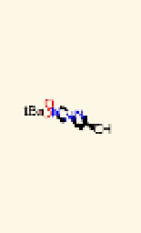 C#Cc1ccc(N2CCN(C(=O)OC(C)(C)C)CC2)nc1